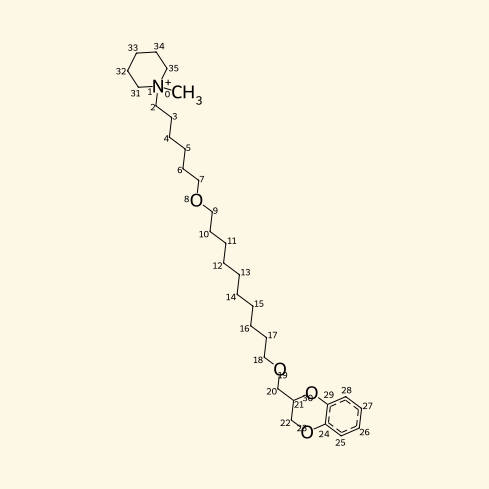 C[N+]1(CCCCCCOCCCCCCCCCCOCC2COc3ccccc3O2)CCCCC1